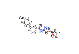 CC(=O)c1ccc(-c2cccc(C(=O)Nc3nnc(-c4ccco4)o3)c2)cc1F